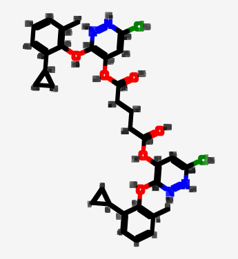 Cc1cccc(C2CC2)c1Oc1nnc(Cl)cc1OC(=O)CCCC(=O)Oc1cc(Cl)nnc1Oc1c(C)cccc1C1CC1